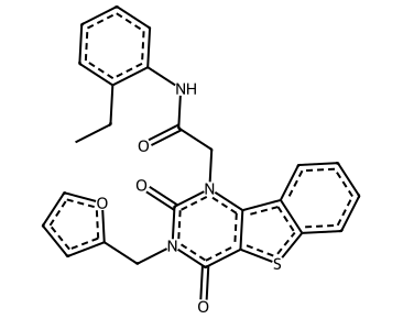 CCc1ccccc1NC(=O)Cn1c(=O)n(Cc2ccco2)c(=O)c2sc3ccccc3c21